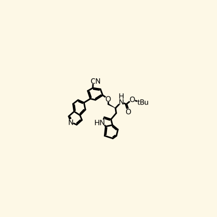 CC(C)(C)OC(=O)N[C@H](COc1cc(C#N)cc(-c2ccc3cnccc3c2)c1)Cc1c[nH]c2ccccc12